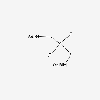 CNCC(F)(F)CNC(C)=O